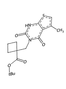 Cc1csc2[nH]c(=O)n(CC3(C(=O)OC(C)(C)C)CCC3)c(=O)c12